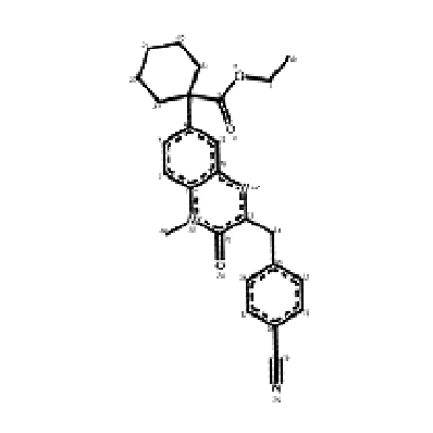 CCOC(=O)C1(c2ccc3c(c2)nc(Cc2ccc(C#N)cc2)c(=O)n3C)CCCCC1